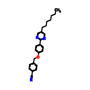 CCCCCCCc1cnc(-c2ccc(OCc3ccc(C#N)cc3)cc2)nc1